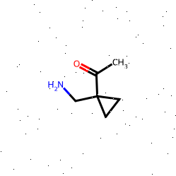 CC(=O)C1(CN)CC1